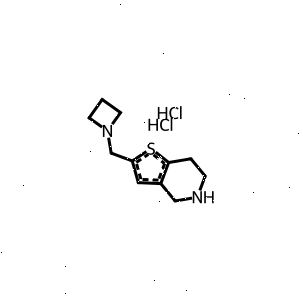 Cl.Cl.c1c(CN2CCC2)sc2c1CNCC2